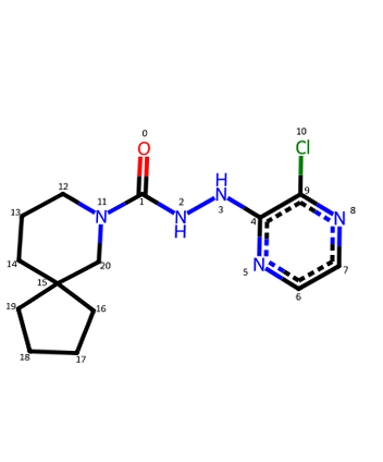 O=C(NNc1nccnc1Cl)N1CCCC2(CCCC2)C1